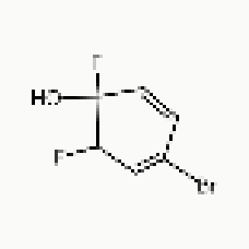 OC1(F)C=CC(Br)=CC1F